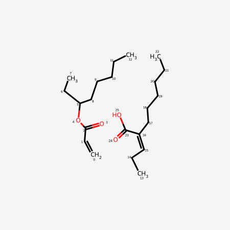 C=CC(=O)OC(CC)CCCCC.CCC=C(CCCCCC)C(=O)O